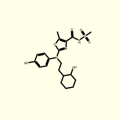 Cc1oc(N(CCC2CCCCC2O)c2ccc(C#N)cc2)nc1C(=O)NS(C)(=O)=O